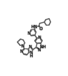 O=C(CC1CCCCC1)Nc1cncc(-c2cc3c(-c4nc5c(N6CCCCC6)nccc5[nH]4)n[nH]c3cn2)c1